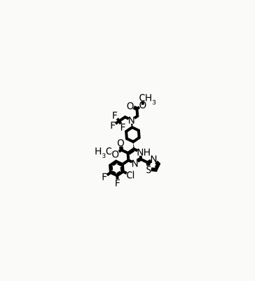 COC(=O)CN(CC(F)(F)F)[C@H]1CC[C@H](C2=C(C(=O)OC)C(c3ccc(F)c(F)c3Cl)N=C(c3nccs3)N2)CC1